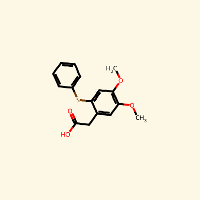 COc1cc(CC(=O)O)c(Sc2ccccc2)cc1OC